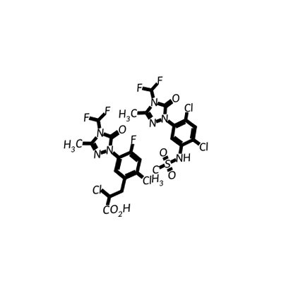 Cc1nn(-c2cc(CC(Cl)C(=O)O)c(Cl)cc2F)c(=O)n1C(F)F.Cc1nn(-c2cc(NS(C)(=O)=O)c(Cl)cc2Cl)c(=O)n1C(F)F